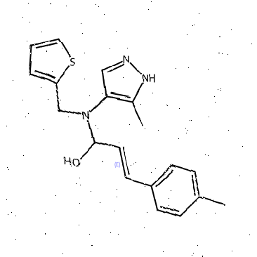 Cc1ccc(/C=C/C(O)N(Cc2cccs2)c2cn[nH]c2C)cc1